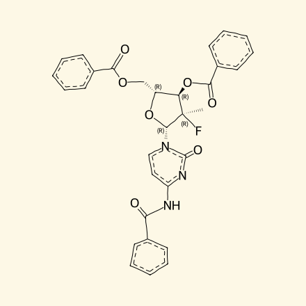 C[C@@]1(F)[C@H](OC(=O)c2ccccc2)[C@@H](COC(=O)c2ccccc2)O[C@H]1n1ccc(NC(=O)c2ccccc2)nc1=O